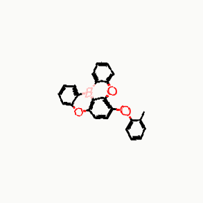 Cc1ccccc1Oc1ccc2c3c1Oc1ccccc1B3c1ccccc1O2